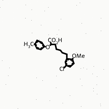 COc1ccc(Cl)cc1CCCCCC(Oc1ccc(C)cc1)C(=O)O